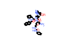 CC(C)(O)c1cnnn1[C@H]1C[C@@H](C(=O)NC(CCCCNC(=O)NC2CCCCC2)C(=O)C(N)=O)N(C(=O)[C@@H](CC2CCCCC2)NC(=O)c2ccc3ccccc3c2)C1